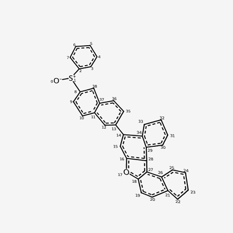 [O-][S+](c1ccccc1)c1ccc2cc(-c3cc4oc5ccc6ccccc6c5c4c4ccccc34)ccc2c1